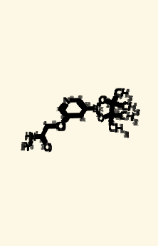 CC(C)NC(=O)COc1cncc(B2OC(C)(C)C(C)(C)O2)c1